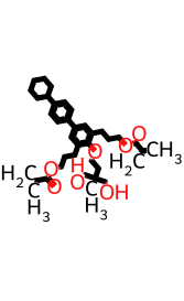 C=C(C)C(=O)OCCCc1cc(-c2ccc(C3CCCCC3)cc2)cc(CCCOC(=O)C(=C)C)c1OCCC(C)(CO)CO